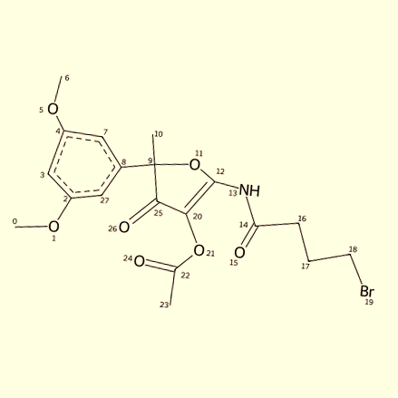 COc1cc(OC)cc(C2(C)OC(NC(=O)CCCBr)=C(OC(C)=O)C2=O)c1